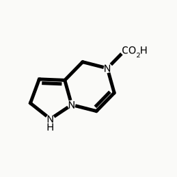 O=C(O)N1C=CN2NCC=C2C1